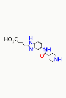 O=C(O)CCCc1nc2cc(NC(=O)C3CCNCC3)ccc2[nH]1